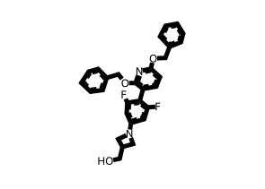 OCC1CN(c2cc(F)c(-c3ccc(OCc4ccccc4)nc3OCc3ccccc3)c(F)c2)C1